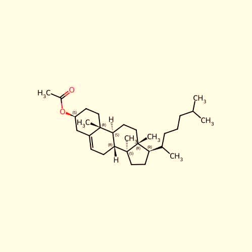 CC(=O)O[C@H]1CC[C@@]2(C)C(=CC[C@@H]3[C@@H]2CC[C@]2(C)[C@@H](C(C)CCCC(C)C)CC[C@@]32C)C1